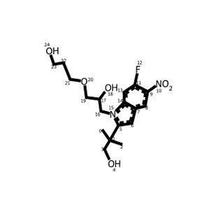 CC(C)(CO)c1cc2cc([N+](=O)[O-])c(F)cc2n1CC(O)COCCCO